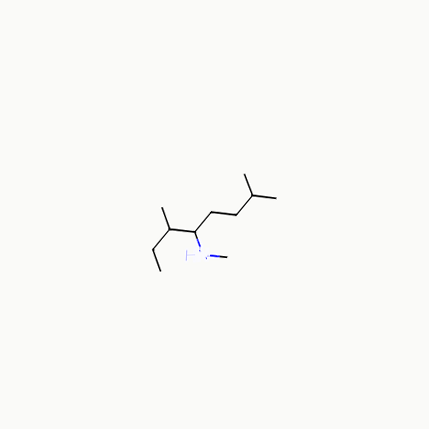 CCC(C)C(CCC(C)C)NC